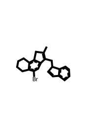 CC1=C(CC2C=Cc3ccccc32)c2cc(Br)c3c(c2C1)CCCC3